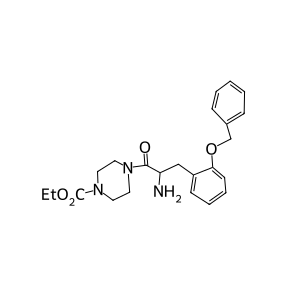 CCOC(=O)N1CCN(C(=O)C(N)Cc2ccccc2OCc2ccccc2)CC1